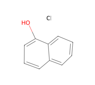 Oc1cccc2ccccc12.[C]